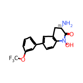 N[C@H]1Cc2cc(-c3cccc(OC(F)(F)F)c3)ccc2N(O)C1=O